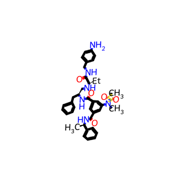 CC[C@H](NC[C@H](Cc1ccccc1)NC(=O)c1cc(C(=O)N[C@H](C)c2ccccc2)cc(N(C)S(C)(=O)=O)c1)C(=O)NCc1ccc(N)cc1